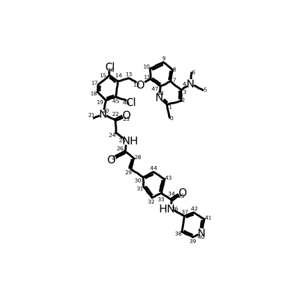 Cc1cc(N(C)C)c2cccc(OCc3c(Cl)ccc(N(C)C(=O)CNC(=O)C=Cc4ccc(C(=O)Nc5ccncc5)cc4)c3Cl)c2n1